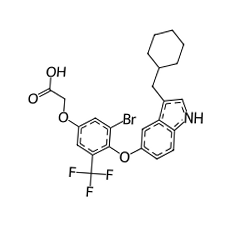 O=C(O)COc1cc(Br)c(Oc2ccc3[nH]cc(CC4CCCCC4)c3c2)c(C(F)(F)F)c1